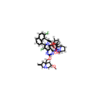 C=C1CN2C[C@H](OC)CC2(COc2nc3c4c(nc(-c5cccc6ccc(F)c(C#C[Si](C(C)C)(C(C)C)C(C)C)c56)c(F)c4n2)OC(C)C2C4CCC(CN32)N4C(=O)O)C1